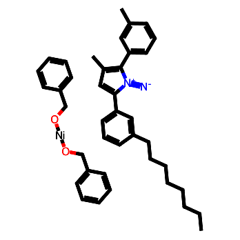 CCCCCCCCc1cccc(C2=CC(C)=C(c3cccc(C)c3)[N+]2=[N-])c1.c1ccc(C[O][Ni][O]Cc2ccccc2)cc1